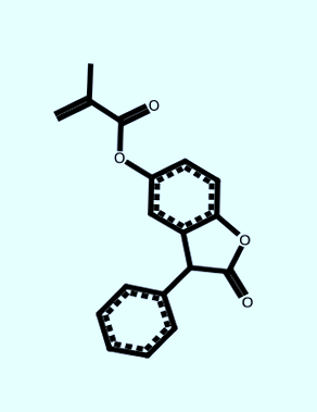 C=C(C)C(=O)Oc1ccc2c(c1)C(c1ccccc1)C(=O)O2